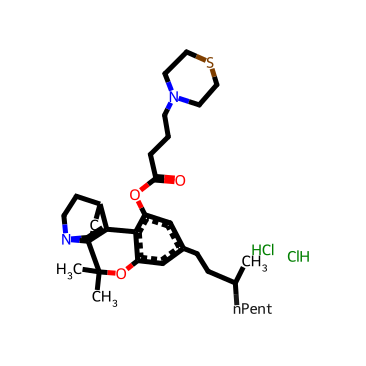 CCCCCC(C)CCc1cc(OC(=O)CCCN2CCSCC2)c2c(c1)OC(C)(C)C1=C2C2CCN1CC2.Cl.Cl